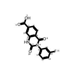 O=C(O)c1ccc2c(=O)n(-c3cccc(F)c3)c(=O)[nH]c2c1